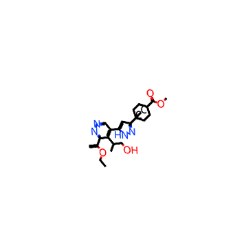 C=C(OCC)c1nncc(-c2cc(C34CCC(C(=O)OC)(CC3)CC4)n[nH]2)c1C(C)CO